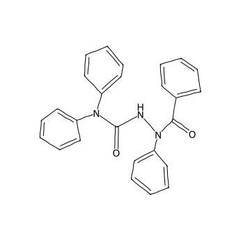 O=C(c1ccccc1)N(NC(=O)N(c1ccccc1)c1ccccc1)c1ccccc1